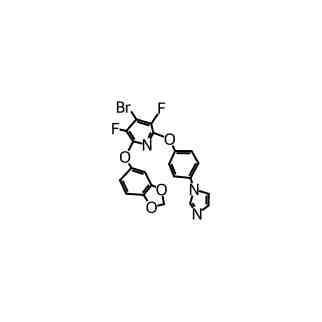 Fc1c(Oc2ccc(-n3ccnc3)cc2)nc(Oc2ccc3c(c2)OCO3)c(F)c1Br